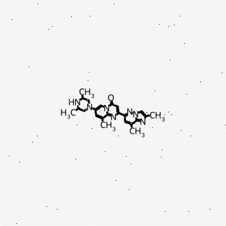 Cc1cn2nc(-c3cc(=O)n4cc(N5CC(C)NC(C)C5)cc(C)c4n3)cc(C)c2n1